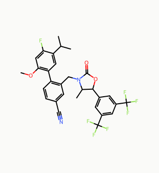 COc1cc(F)c(C(C)C)cc1-c1ccc(C#N)cc1CN1C(=O)OC(c2cc(C(F)(F)F)cc(C(F)(F)F)c2)C1C